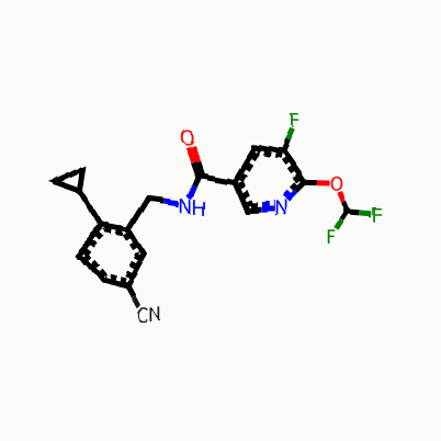 N#Cc1ccc(C2CC2)c(CNC(=O)c2cnc(OC(F)F)c(F)c2)c1